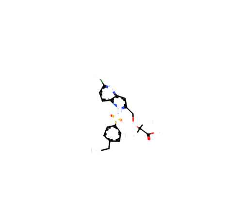 CCc1ccc(S(=O)(=O)n2c(COC(C)(C)C(=O)O)cc3nc(Cl)ccc32)cc1